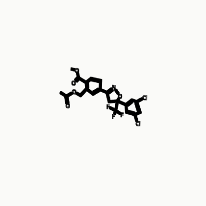 COC(=O)c1ccc(C2=NOC(c3cc(Cl)cc(Cl)c3)(C(F)(F)F)C2)cc1COC(C)=O